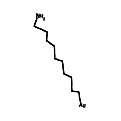 NCCCCCCCCC[CH2][Au]